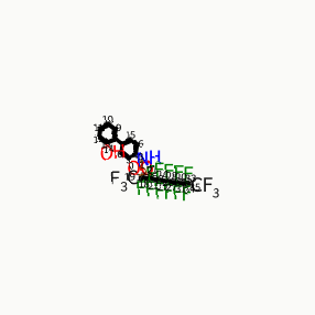 O=S(=O)(Nc1ccc(-c2ccccc2O)cc1)C(F)(C(F)(F)F)C(F)(F)C(F)(F)C(F)(F)C(F)(F)C(F)(F)C(F)(F)F